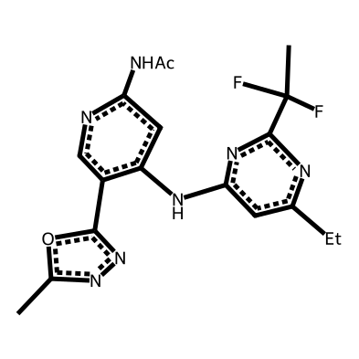 CCc1cc(Nc2cc(NC(C)=O)ncc2-c2nnc(C)o2)nc(C(C)(F)F)n1